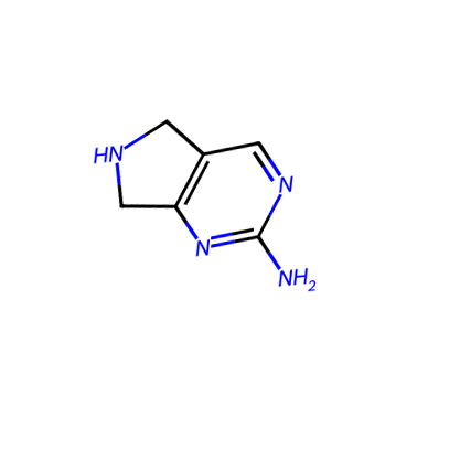 Nc1ncc2c(n1)CNC2